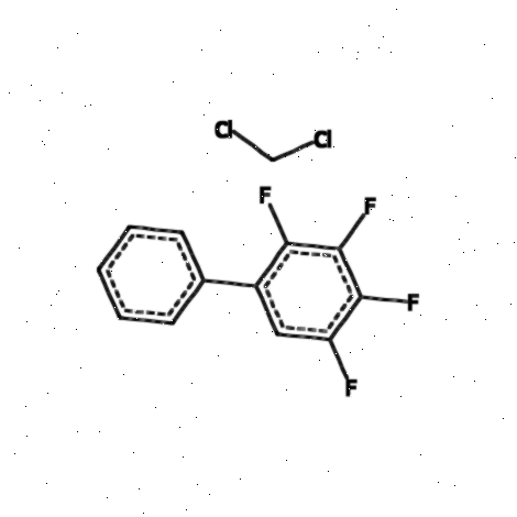 ClCCl.Fc1cc(-c2ccccc2)c(F)c(F)c1F